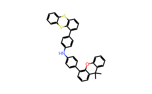 CC1(C)c2ccccc2Oc2c(-c3ccc(Nc4ccc(-c5cccc6c5Sc5ccccc5S6)cc4)cc3)cccc21